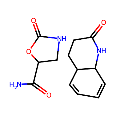 NC(=O)C1CNC(=O)O1.O=C1CCC2C=CC=CC2N1